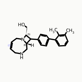 Cc1cccc(-c2ccc(C3[C@@H](CO)N4C/C=C\CNC[C@@H]34)cc2)c1C